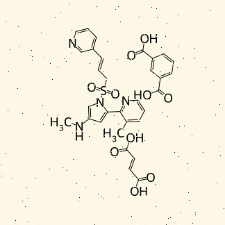 CNc1cc(-c2ncccc2C)n(S(=O)(=O)CC=Cc2cccnc2)c1.O=C(O)/C=C/C(=O)O.O=C(O)c1cccc(C(=O)O)c1